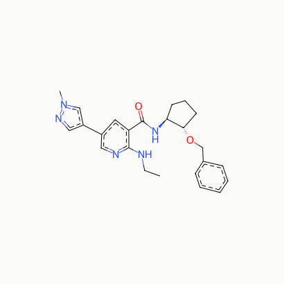 CCNc1ncc(-c2cnn(C)c2)cc1C(=O)N[C@H]1CCC[C@@H]1OCc1ccccc1